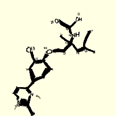 Cc1nccc(-c2ccc(OCC(C)(CC(C)C)NC(=O)O)c(Cl)c2)n1